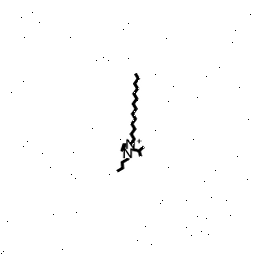 CCCCCCCCCCCCCC[n+]1ccn(CCCC)c1C(C)C